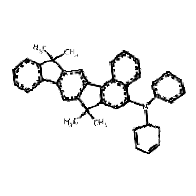 CC1(C)c2ccccc2-c2cc3c(cc21)-c1c(cc(N(c2ccccc2)C2C=CC=CC2)c2ccccc12)C3(C)C